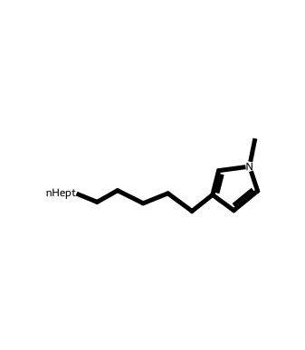 CCCCCCCCCCCCc1ccn(C)c1